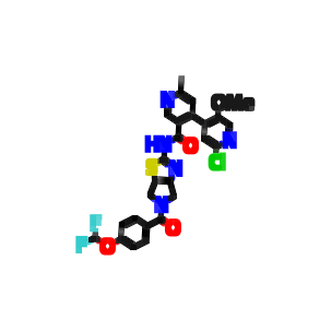 COc1cnc(Cl)cc1-c1cc(C)ncc1C(=O)Nc1nc2c(s1)CN(C(=O)c1ccc(OC(F)F)cc1)C2